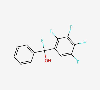 OC(F)(c1ccccc1)c1cc(F)c(F)c(F)c1F